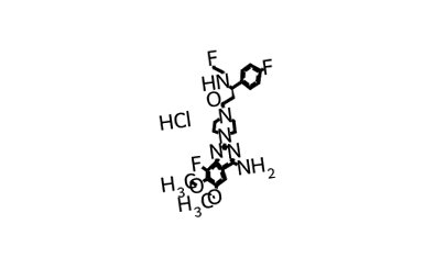 COc1cc2c(N)nc(N3CCN(C(=O)C[C@@H](NCCF)c4ccc(F)cc4)CC3)nc2c(F)c1OC.Cl